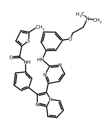 Cc1ccc(C(=O)Nc2cccc(-c3nc4ccccn4c3-c3ccnc(Nc4cccc(OCCN(C)C)c4)n3)c2)s1